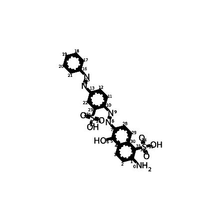 Nc1ccc2c(O)c(/N=N/c3ccc(/N=N/c4ccccc4)cc3S(=O)(=O)O)ccc2c1S(=O)(=O)O